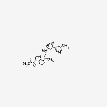 CNC(=O)c1ccnc2c(C(C)CCNc3cc(-c4cncc(C)c4)ncn3)cccc12